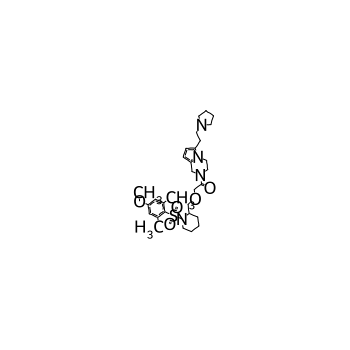 COc1cc(C)c(S(=O)(=O)N2CCCCC2COCC(=O)N2CCn3c(CCN4CCCC4)ccc3C2)c(C)c1